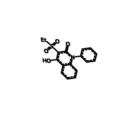 CCS(=O)(=O)c1c(O)c2ccccc2n(-c2ccccc2)c1=O